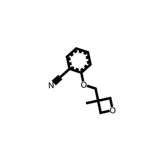 CC1(COc2ccccc2C#N)COC1